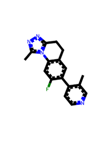 Cc1cnccc1-c1cc2c(cc1F)-n1c(C)nnc1CC2